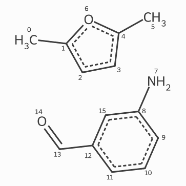 Cc1ccc(C)o1.Nc1cccc(C=O)c1